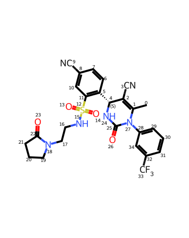 CC1=C(C#N)[C@@H](c2ccc(C#N)cc2S(=O)(=O)NCCN2CCCC2=O)NC(=O)N1c1cccc(C(F)(F)F)c1